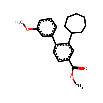 COC(=O)c1ccc(-c2cccc(OC)c2)c(C2CCCCCC2)c1